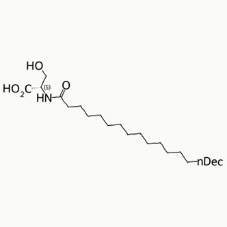 CCCCCCCCCCCCCCCCCCCCCCCC(=O)N[C@@H](CO)C(=O)O